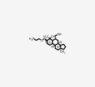 CC1(C)C(=NOCCN)CC[C@@]2(C)C1[C@@H](CO)C[C@H]1[C@@H]3CCC[C@@]3(C)CC[C@@H]12